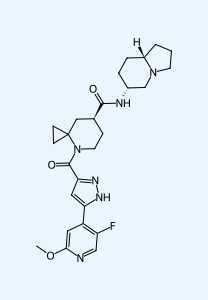 COc1cc(-c2cc(C(=O)N3CC[C@H](C(=O)N[C@@H]4CC[C@@H]5CCCN5C4)CC34CC4)n[nH]2)c(F)cn1